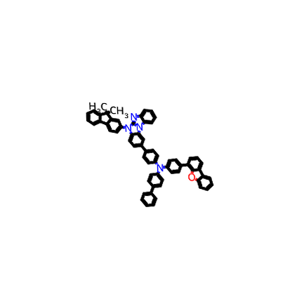 CC1(C)c2ccccc2-c2ccc(-n3c4ccc(-c5ccc(N(c6ccc(-c7ccccc7)cc6)c6ccc(-c7cccc8c7oc7ccccc78)cc6)cc5)cc4n4c5ccccc5nc34)cc21